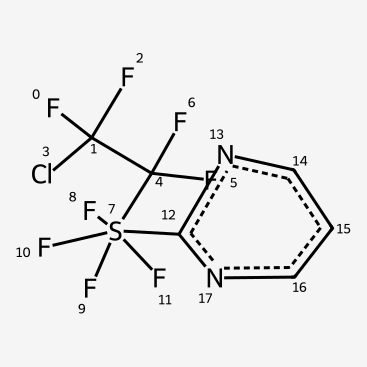 FC(F)(Cl)C(F)(F)S(F)(F)(F)(F)c1ncccn1